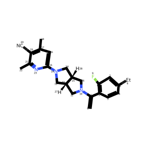 C=C(c1ccc(CC)cc1F)N1C[C@@H]2CN(c3cc(C)c(C#N)c(C)n3)C[C@@H]2C1